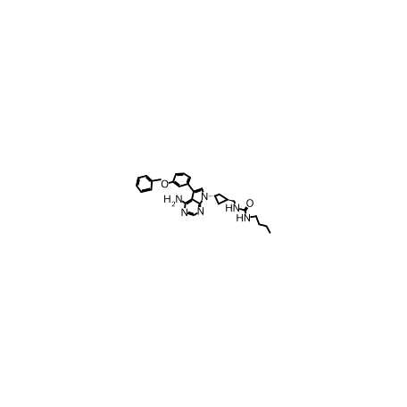 CCCCNC(=O)NC[C@H]1C[C@H](n2cc(-c3cccc(OCc4ccccc4)c3)c3c(N)ncnc32)C1